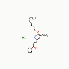 COc1cc(C=CC(=O)C2CCCC2)ncc1OCCCCCC(=O)O.Cl